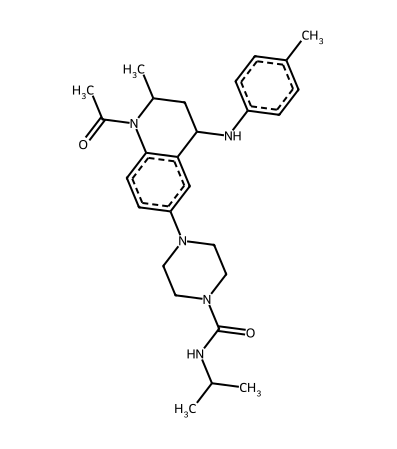 CC(=O)N1c2ccc(N3CCN(C(=O)NC(C)C)CC3)cc2C(Nc2ccc(C)cc2)CC1C